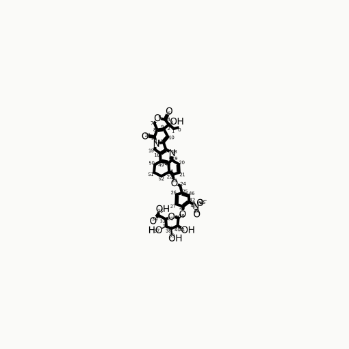 CC[C@@]1(O)C(=O)OCc2c1cc1n(c2=O)Cc2c-1nc1ccc(OCc3ccc(O[C@@H]4OC(C(=O)O)[C@@H](O)[C@H](O)C4O)c([N+](=O)[O-])c3)c3c1c2CCC3